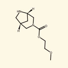 COCCOC(=O)N1C[C@@H]2CN[C@@H](C2)C1